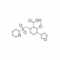 COc1c(-c2ccoc2)ccc(CS(=O)(=O)c2ccccn2)c1C(=O)O